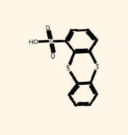 O=S(=O)(O)c1cccc2c1Sc1ccccc1S2